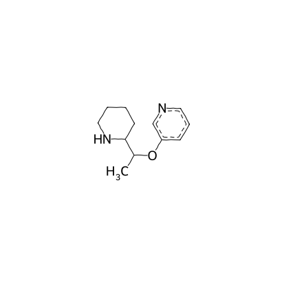 CC(Oc1cccnc1)C1CCCCN1